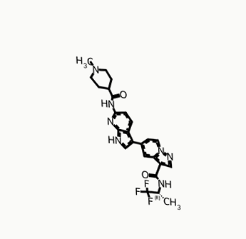 C[C@@H](NC(=O)c1cnn2ccc(-c3c[nH]c4nc(NC(=O)C5CCN(C)CC5)ccc34)cc12)C(F)(F)F